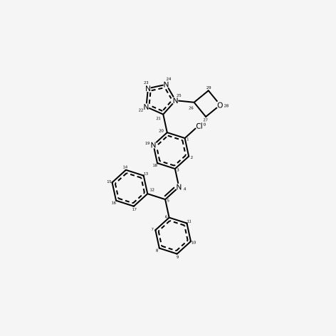 Clc1cc(N=C(c2ccccc2)c2ccccc2)cnc1-c1nnnn1C1COC1